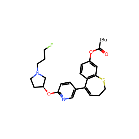 CC(C)(C)C(=O)Oc1ccc2c(c1)SCCC=C2c1ccc(O[C@H]2CCN(CCCF)C2)nc1